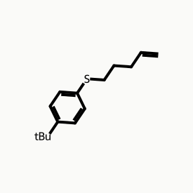 C=CCCCSc1ccc(C(C)(C)C)cc1